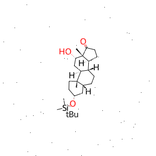 CC(C)(C)[Si](C)(C)O[C@@H]1CC[C@@]2(C)[C@H](CC[C@@H]3[C@@H]2C[C@H](O)[C@]2(C)C(=O)CC[C@@H]32)C1